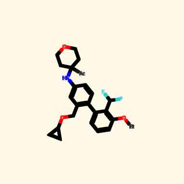 CCOc1cccc(-c2ccc(NC3(C(C)=O)CCOCC3)cc2COC2CC2)c1C(F)F